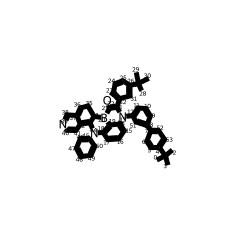 CC(C)(C)c1ccc(-c2cccc(N3c4cccc5c4B(c4oc6ccc(C(C)(C)C)cc6c43)C3CC=c4cnccc4=C3N5c3ccccc3)c2)cc1